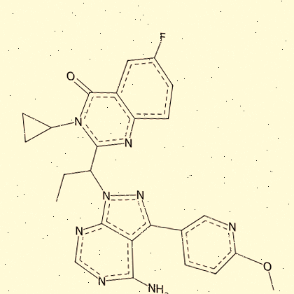 CCC(c1nc2ccc(F)cc2c(=O)n1C1CC1)n1nc(-c2ccc(OC)nc2)c2c(N)ncnc21